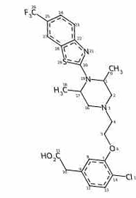 CC1CN(CCOc2cc(CC(=O)O)ccc2Cl)CC(C)N1c1nc2ccc(C(F)(F)F)cc2s1